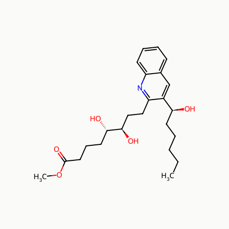 CCCCC[C@H](O)c1cc2ccccc2nc1CC[C@@H](O)[C@@H](O)CCCC(=O)OC